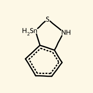 c1cc[c]2c(c1)N[S][SnH2]2